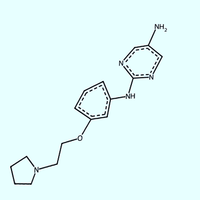 Nc1cnc(Nc2cccc(OCCN3CCCC3)c2)nc1